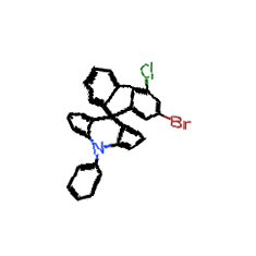 Clc1cc(Br)cc2c1-c1ccccc1C21c2ccccc2N(c2ccccc2)c2ccccc21